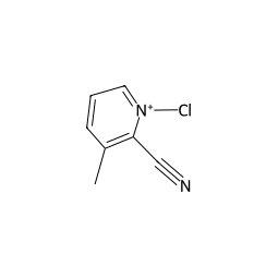 Cc1ccc[n+](Cl)c1C#N